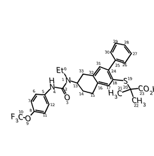 CCN(C(=O)Nc1ccc(OC(F)(F)F)cc1)C1CCc2cc(SC(C)(C)C(=O)O)c(-c3ccccc3)cc2C1